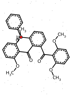 COc1cccc(OC)c1C(=O)c1cccc([PH](=O)c2ccccc2)c1C(=O)c1c(OC)cccc1OC